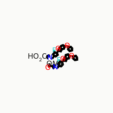 COC(=O)C1CN(Cc2ccc(-c3cc4cc(Oc5ccccc5)ccc4o3)c(F)c2)C1.O=C(O)C1CN(Cc2ccc(-c3cc4cc(Oc5ccccc5)ccc4o3)c(F)c2)C1